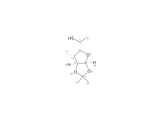 CC(S)[C@@H]1O[C@H]2OC(C)(C)O[C@H]2[C@@H]1C